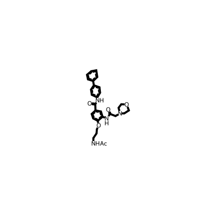 CC(=O)NCCCOc1ccc(C(=O)Nc2ccc(-c3ccccc3)cc2)cc1NC(=O)CN1CCOCC1